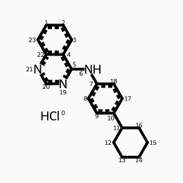 Cl.c1ccc2c(Nc3ccc(C4CCCCC4)cc3)ncnc2c1